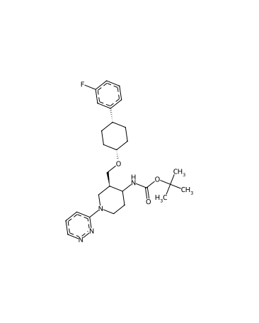 CC(C)(C)OC(=O)NC1CCN(c2cccnn2)C[C@H]1CO[C@H]1CC[C@@H](c2cccc(F)c2)CC1